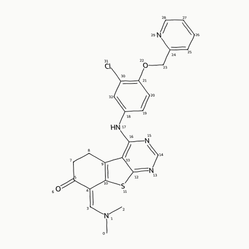 CN(C)/C=C1/C(=O)CCc2c1sc1ncnc(Nc3ccc(OCc4ccccn4)c(Cl)c3)c21